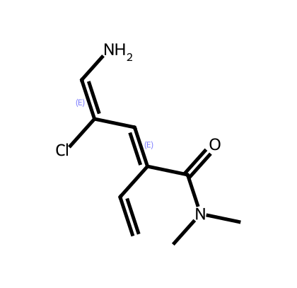 C=C/C(=C\C(Cl)=C/N)C(=O)N(C)C